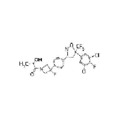 C[C@H](O)C(=O)N1CC(F)(c2ccc(C3=NOC(c4cc(Cl)c(F)c(Cl)c4)(C(F)(F)F)C3)cc2)C1